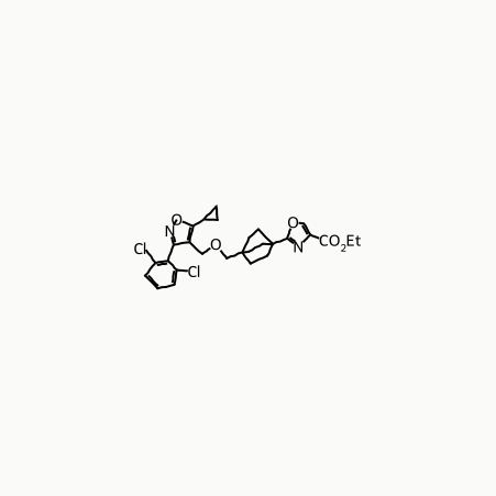 CCOC(=O)c1coc(C23CCC(COCc4c(-c5c(Cl)cccc5Cl)noc4C4CC4)(CC2)CC3)n1